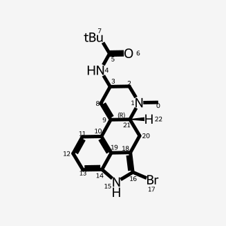 CN1CC(NC(=O)C(C)(C)C)C=C2c3cccc4[nH]c(Br)c(c34)C[C@H]21